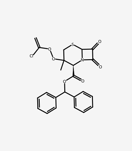 C=C(Cl)OOC1(C)CSC2C(=O)C(=O)N2[C@H]1C(=O)OC(c1ccccc1)c1ccccc1